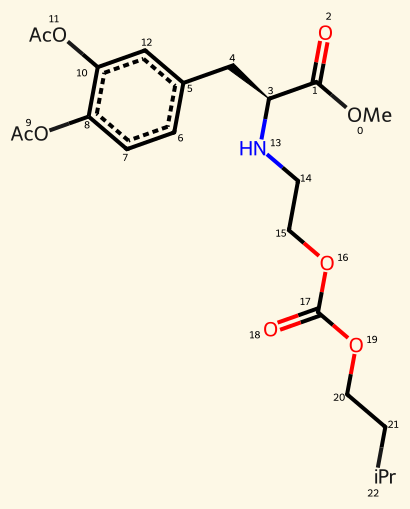 COC(=O)[C@H](Cc1ccc(OC(C)=O)c(OC(C)=O)c1)NCCOC(=O)OCCC(C)C